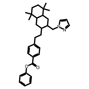 CC1(C)CCC(C)(C)C2CC(Cn3cccn3)C(CCc3ccc(C(=O)Oc4ccccc4)cc3)CC21